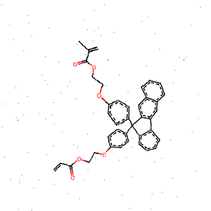 C=CC(=O)OCCOc1ccc(C2(c3ccc(OCCOC(=O)C(=C)C)cc3)c3ccccc3-c3cc4ccccc4cc32)cc1